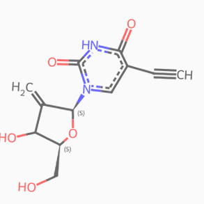 C#Cc1cn([C@H]2O[C@@H](CO)C(O)C2=C)c(=O)[nH]c1=O